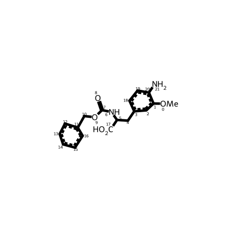 COc1cc(CC(NC(=O)OCc2ccccc2)C(=O)O)ccc1N